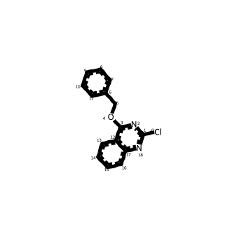 Clc1nc(OCc2ccccc2)c2ccccc2n1